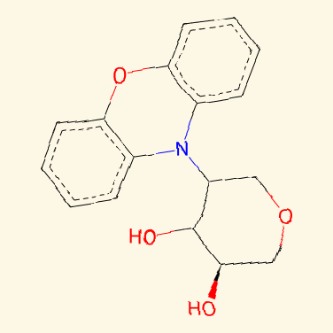 OC1C(N2c3ccccc3Oc3ccccc32)COC[C@H]1O